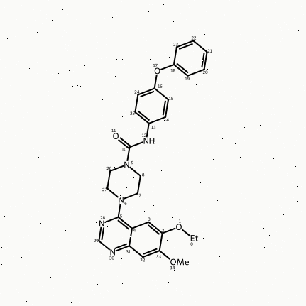 CCOc1cc2c(N3CCN(C(=O)Nc4ccc(Oc5ccccc5)cc4)CC3)ncnc2cc1OC